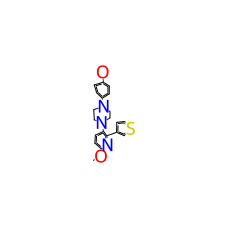 COc1ccc(N2CCN(c3ccc(OC)nc3-c3ccsc3)CC2)cc1